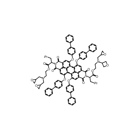 CC(C)CC(C(=O)OCCN(CC1CO1)CC1CO1)N1C(=O)c2cc(Oc3ccc(-c4ccccc4)cc3)c3c4c(Oc5ccc(-c6ccccc6)cc5)cc5c6c(cc(Oc7ccc(-c8ccccc8)cc7)c(c7c(Oc8ccc(-c9ccccc9)cc8)cc(c2c37)C1=O)c64)C(=O)N(C(CC(C)C)C(=O)OCCN(CC1CO1)C1COC1)C5=O